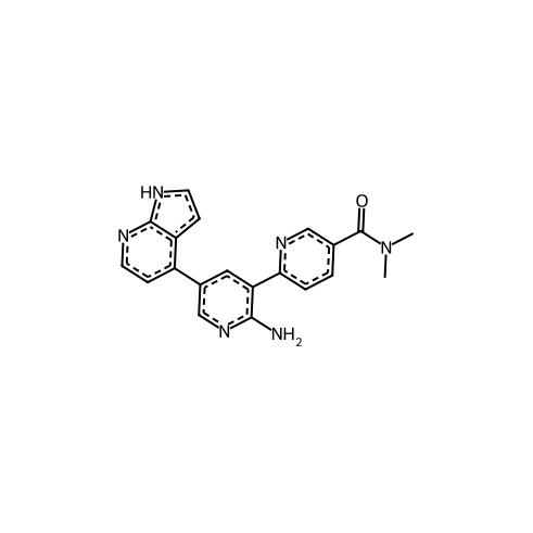 CN(C)C(=O)c1ccc(-c2cc(-c3ccnc4[nH]ccc34)cnc2N)nc1